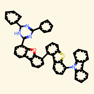 c1ccc(C2=NC(c3ccccc3)NC(c3cccc4c3oc3c(-c5cccc6sc7c(-n8c9ccccc9c9ccccc98)cccc7c56)cccc34)=N2)cc1